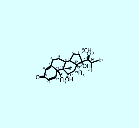 C[C@H]1CC2C3CCC4=CC(=O)C=CC4(C)[C@@]3(F)[C@@H](O)CC2(C)[C@@]1(O)C(=O)C(I)I